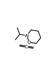 C=C=C.C[CH](C)[Al]1[CH2]CCC[O]1